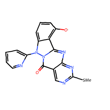 CSc1ncc2c(=O)n3c(nc2n1)c1c([O])cccc1n3-c1ccccn1